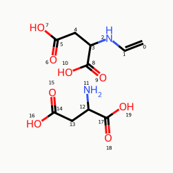 C=CNC(CC(=O)O)C(=O)O.NC(CC(=O)O)C(=O)O